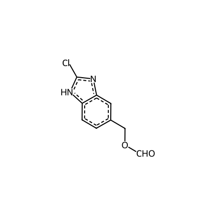 O=COCc1ccc2[nH]c(Cl)nc2c1